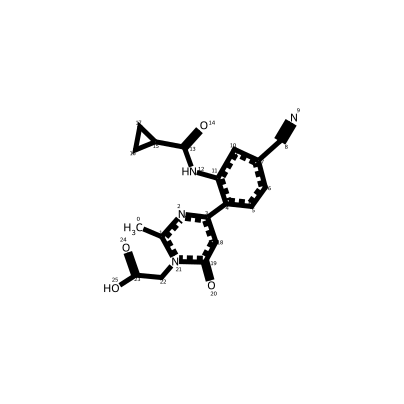 Cc1nc(-c2ccc(C#N)cc2NC(=O)C2CC2)cc(=O)n1CC(=O)O